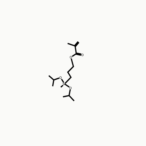 C=C(C)C(=O)OCCC[Si](C)(OC(C)C)OC(C)C